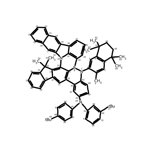 Cc1cc2c(cc1N1B3c4c(cc5c(c4-n4c6cc7ccccc7cc6c6cccc3c64)C(C)(C)c3ccccc3-5)-c3cc(N(c4ccc(C(C)(C)C)cc4)c4cccc(C(C)(C)C)c4)ccc31)C(C)(C)CCC2(C)C